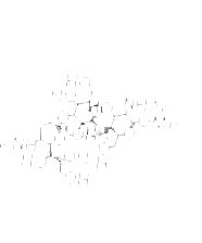 CO[C@@H]1OC(CO)[C@@H](O[C@@H]2OC(CO)[C@H](O)C(O[C@]3(C(=O)O)CCC(NC(C)=O)C([C@H](O)[C@H](O)CO)O3)C2O)C(O)C1NC(C)=O